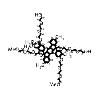 COCCOCCOCCOc1ccc(C2(COCCOCCOCCO)c3cc(C)ccc3-c3cc4c(cc32)-c2ccc(C)cc2C4(OCCOCCOCCOC)c2ccc(COCCOCCOCCO)c(C[N+](C)(C)C)c2)cc1C